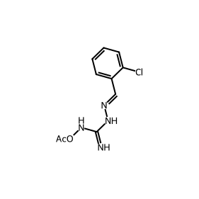 CC(=O)ONC(=N)NN=Cc1ccccc1Cl